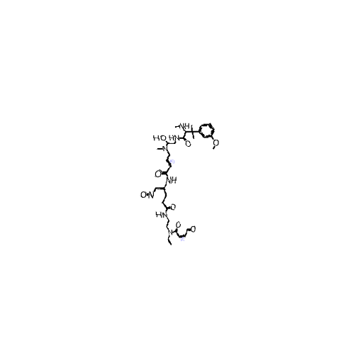 CCN(CCNC(=O)CCC(CN=O)NC(=O)/C=C/CN(C)C(O)CNC(=O)C(NC)C(C)(C)c1cccc(OC)c1)C(=O)/C=C\C=O